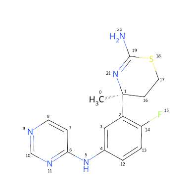 C[C@@]1(c2cc(Nc3ccncn3)ccc2F)CCSC(N)=N1